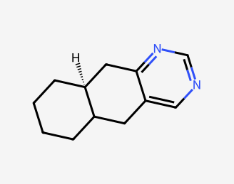 c1ncc2c(n1)C[C@@H]1CCCCC1C2